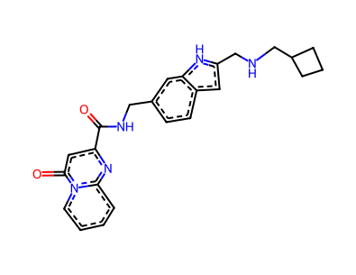 O=C(NCc1ccc2cc(CNCC3CCC3)[nH]c2c1)c1cc(=O)n2ccccc2n1